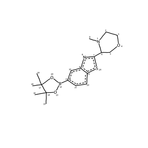 CN1CCOCC1c1nc2cc(B3OC(C)(C)C(C)(C)O3)ccc2s1